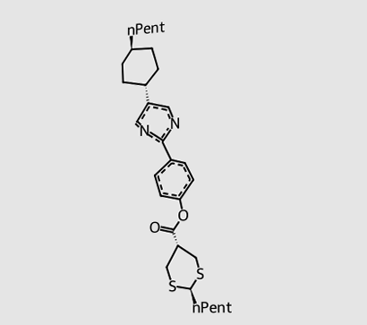 CCCCC[C@H]1CC[C@H](c2cnc(-c3ccc(OC(=O)[C@H]4CS[C@H](CCCCC)SC4)cc3)nc2)CC1